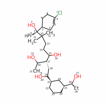 CCC[C@@](O)(C1CC=C(Cl)CC1)C(C)(C)CCC(O)[C@H](CC(O)[C@@H]1CCC[C@H]([C@@H](O)CC)C1)C(C)O